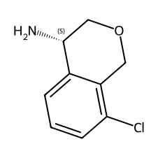 N[C@@H]1COCc2c(Cl)cccc21